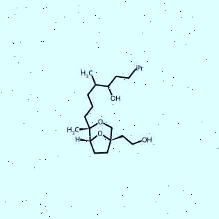 CC(C)CCC(O)C(C)CCC[C@]1(C)OC[C@]2(CCO)CC[C@H]1O2